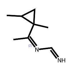 C/C(=N/C=N)C1(C)CC1C